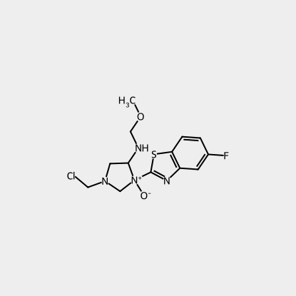 COCNC1CN(CCl)C[N+]1([O-])c1nc2cc(F)ccc2s1